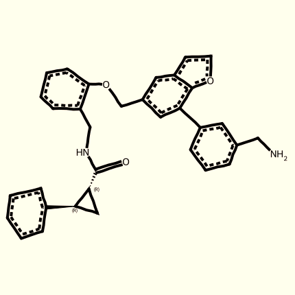 NCc1cccc(-c2cc(COc3ccccc3CNC(=O)[C@@H]3C[C@H]3c3ccccc3)cc3ccoc23)c1